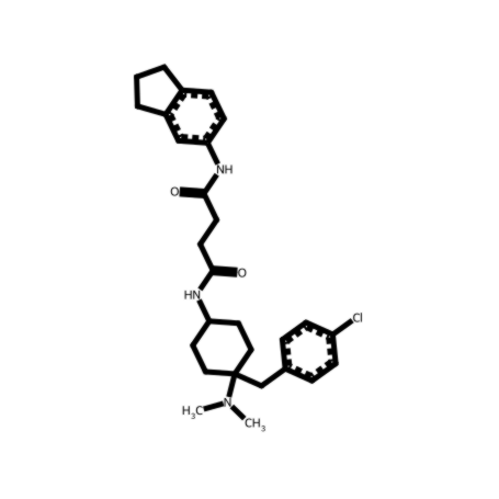 CN(C)C1(Cc2ccc(Cl)cc2)CCC(NC(=O)CCC(=O)Nc2ccc3c(c2)CCC3)CC1